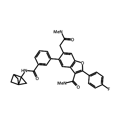 CNC(=O)Cc1cc2oc(-c3ccc(F)cc3)c(C(=O)NC)c2cc1-c1cccc(C(=O)NC23CC24CC3C4)c1